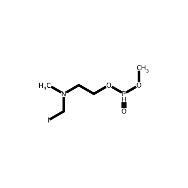 CO[PH](=O)OCCN(C)CI